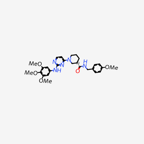 COc1ccc(CNC(=O)[C@H]2CCCN(c3ccnc(Nc4cc(OC)c(OC)c(OC)c4)n3)C2)cc1